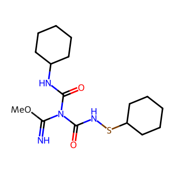 COC(=N)N(C(=O)NSC1CCCCC1)C(=O)NC1CCCCC1